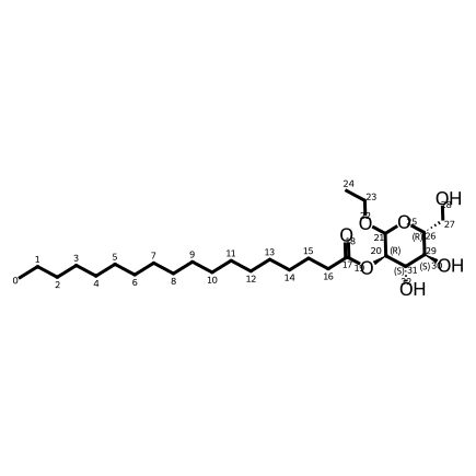 CCCCCCCCCCCCCCCCCC(=O)O[C@H]1C(OCC)O[C@H](CO)[C@@H](O)[C@@H]1O